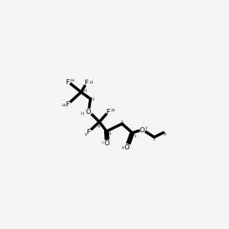 CCOC(=O)CC(=O)C(F)(F)OCC(F)(F)F